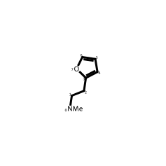 [CH2-][NH2+]CCc1ccco1